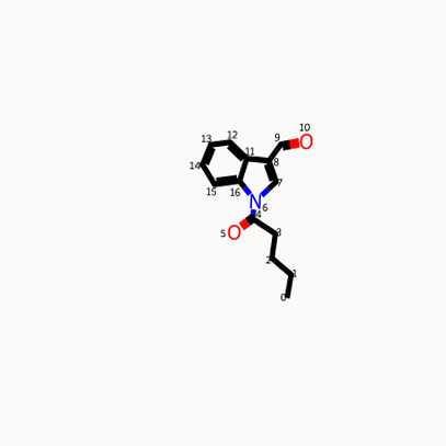 CCCCC(=O)n1cc(C=O)c2ccccc21